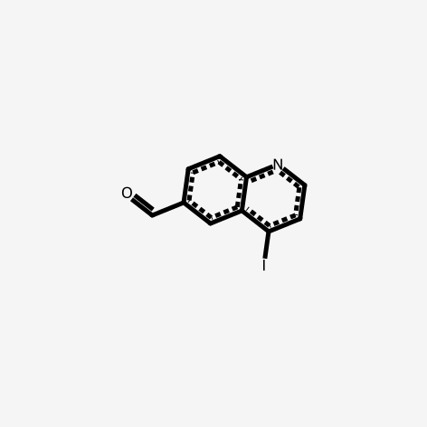 O=Cc1ccc2nccc(I)c2c1